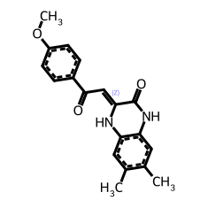 COc1ccc(C(=O)/C=C2\Nc3cc(C)c(C)cc3NC2=O)cc1